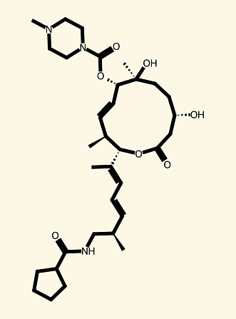 C/C(=C\C=C\[C@@H](C)CNC(=O)C1CCCC1)[C@H]1OC(=O)C[C@@H](O)CC[C@](C)(O)[C@@H](OC(=O)N2CCN(C)CC2)/C=C/[C@@H]1C